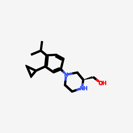 CC(C)c1ccc(N2CCN[C@@H](CO)C2)cc1C1CC1